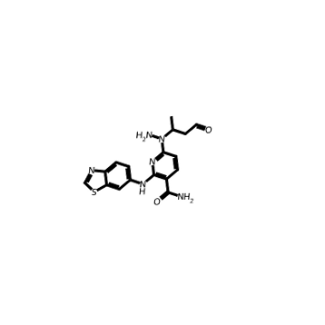 CC(CC=O)N(N)c1ccc(C(N)=O)c(Nc2ccc3ncsc3c2)n1